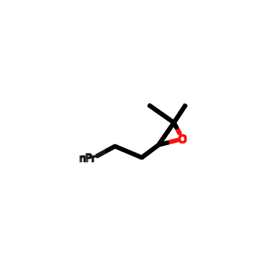 CCCCCC1OC1(C)C